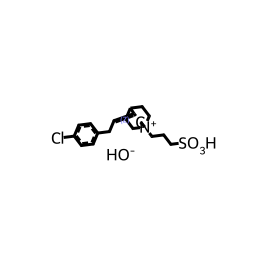 O=S(=O)(O)CCC[N+]12CCC(CC1)/C(=C/Cc1ccc(Cl)cc1)C2.[OH-]